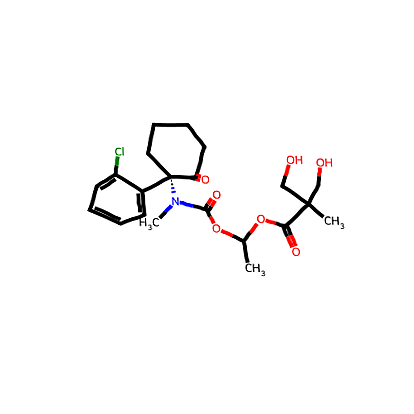 CC(OC(=O)N(C)[C@]1(c2ccccc2Cl)CCCCC1=O)OC(=O)C(C)(CO)CO